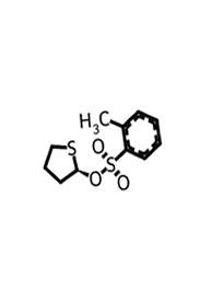 Cc1ccccc1S(=O)(=O)O[C@H]1CCCS1